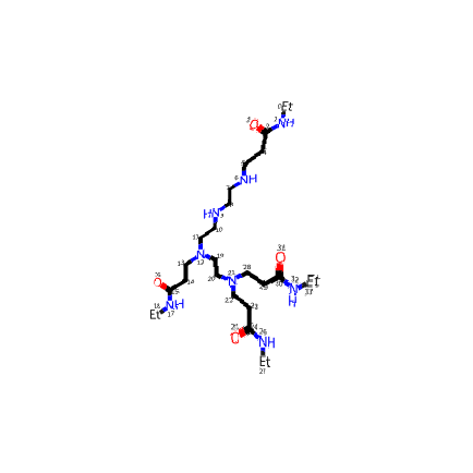 CCNC(=O)CCNCCNCCN(CCC(=O)NCC)CCN(CCC(=O)NCC)CCC(=O)NCC